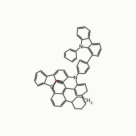 CC1C=C(c2cccc3cccc(C4CCCCC4)c23)C(N(c2ccc(-c3cccc4c5ccccc5n(-c5ccccc5)c34)cc2)c2ccc3c(c2)oc2ccccc23)=CC1